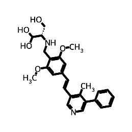 COc1cc(/C=C/c2cncc(-c3ccccc3)c2C)cc(OC)c1CN[C@@H](CO)C(O)O